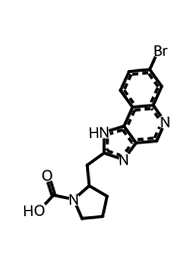 O=C(O)N1CCCC1Cc1nc2cnc3cc(Br)ccc3c2[nH]1